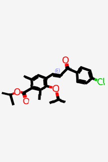 Cc1cc(/C=C/C(=O)c2ccc(Cl)cc2)c(OC(C)C)c(C)c1C(=O)OC(C)C